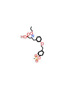 CCCON=C(CC(=O)O)Cc1cccc(OCCc2ccc(OS(C)(=O)=O)cc2)c1